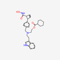 O=C(OCCN(CCc1c[nH]c2ccccc12)Cc1ccc(C2C#CC2C(=O)NO)cc1)C1CCCCC1